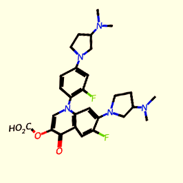 CN(C)C1CCN(c2ccc(-n3cc(OC(=O)O)c(=O)c4cc(F)c(N5CCC(N(C)C)C5)cc43)c(F)c2)C1